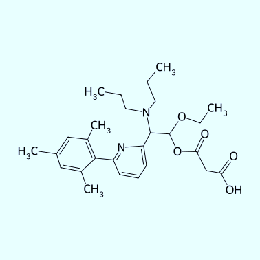 CCCN(CCC)C(c1cccc(-c2c(C)cc(C)cc2C)n1)C(OCC)OC(=O)CC(=O)O